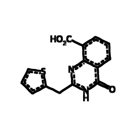 O=C(O)c1cccc2c(=O)[nH]c(Cc3cccs3)nc12